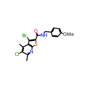 COc1ccc(CNC(=O)c2sc3nc(C)c(Cl)c(C)c3c2Br)cc1